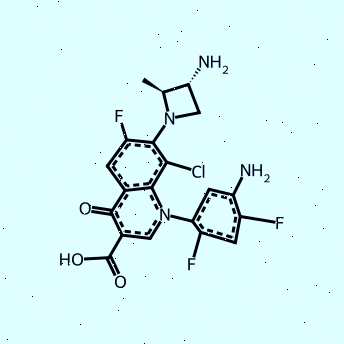 C[C@H]1[C@H](N)CN1c1c(F)cc2c(=O)c(C(=O)O)cn(-c3cc(N)c(F)cc3F)c2c1Cl